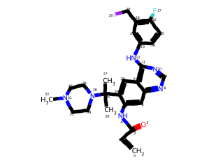 C=CC(=O)Nc1cc2ncnc(Nc3ccc(F)c(CI)c3)c2cc1C(C)(C)N1CCN(C)CC1